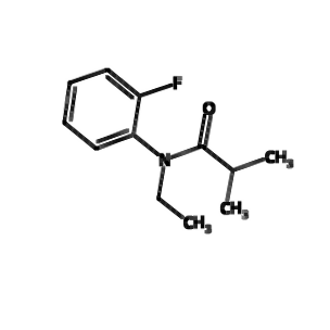 CCN(C(=O)C(C)C)c1ccccc1F